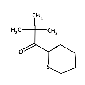 CC(C)(C)C(=O)C1CCCCS1